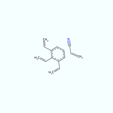 C=CC#N.C=Cc1cccc(C=C)c1C=C